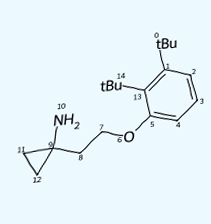 CC(C)(C)c1cccc(OCCC2(N)CC2)c1C(C)(C)C